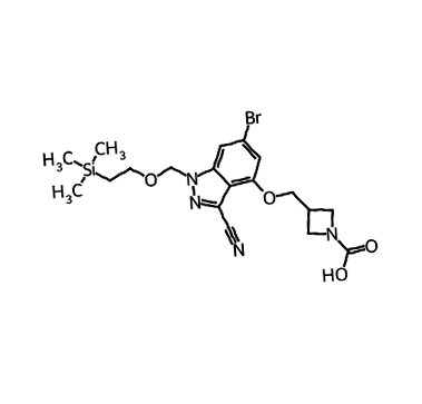 C[Si](C)(C)CCOCn1nc(C#N)c2c(OCC3CN(C(=O)O)C3)cc(Br)cc21